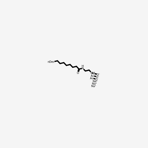 CC(=O)[O-].CC(=O)[O-].CC(=O)[O-].CCCCCCCCCCCCCCCCCC(=O)NCCN.[Na+].[Na+].[Na+]